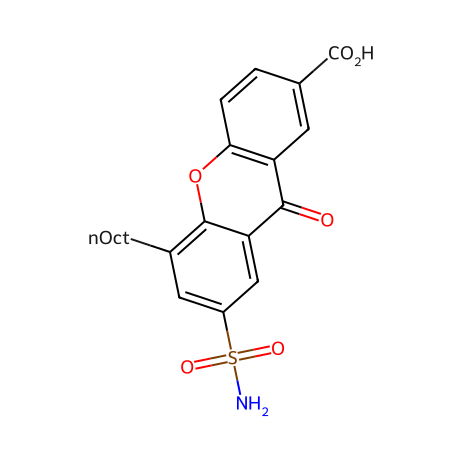 CCCCCCCCc1cc(S(N)(=O)=O)cc2c(=O)c3cc(C(=O)O)ccc3oc12